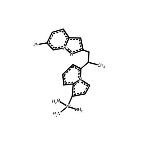 CC(C)c1ccc2cc(CC(C)c3cccc4c([N+](N)(N)N)ccn34)nn2c1